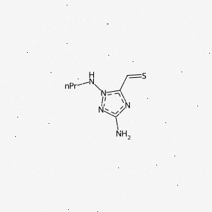 CCCNn1nc(N)nc1C=S